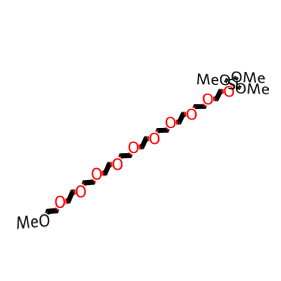 COCCOCCOCCOCCOCCOCCOCCOCCOCCOCCO[Si](OC)(OC)OC